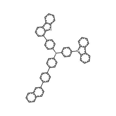 c1ccc2cc(-c3ccc(-c4ccc(N(c5ccc(-c6cccc7c6sc6ccccc67)cc5)c5ccc(-n6c7ccccc7c7ccccc76)cc5)cc4)cc3)ccc2c1